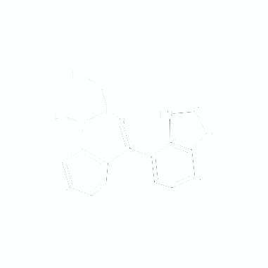 CCOB(N=C(c1ccccc1)c1cccc2c1NCC2)OCC